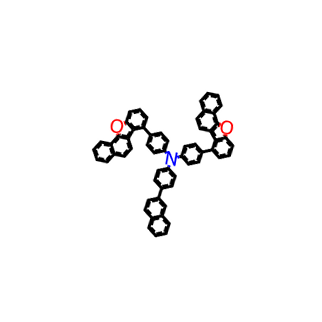 c1ccc2cc(-c3ccc(N(c4ccc(-c5cccc6oc7c8ccccc8ccc7c56)cc4)c4ccc(-c5cccc6oc7c8ccccc8ccc7c56)cc4)cc3)ccc2c1